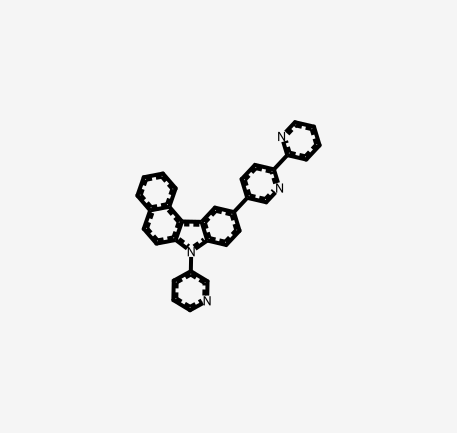 c1ccc(-c2ccc(-c3ccc4c(c3)c3c5ccccc5ccc3n4-c3cccnc3)cn2)nc1